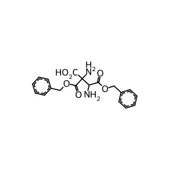 NC(C(=O)OCc1ccccc1)C(N)(C(=O)O)C(=O)OCc1ccccc1